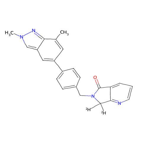 [2H]C1([2H])c2ncccc2C(=O)N1Cc1ccc(-c2cc(C)c3nn(C)cc3c2)cc1